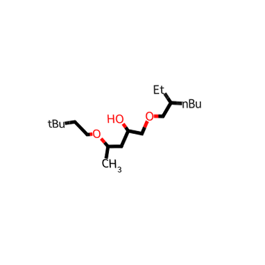 CCCCC(CC)COCC(O)CC(C)OCCC(C)(C)C